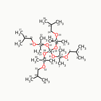 CC(C)CO[Si](C)(C)O[Si](O[Si](C)(C)OCC(C)C)(O[Si](C)(C)OCC(C)C)O[Si](C)(C)OCC(C)C